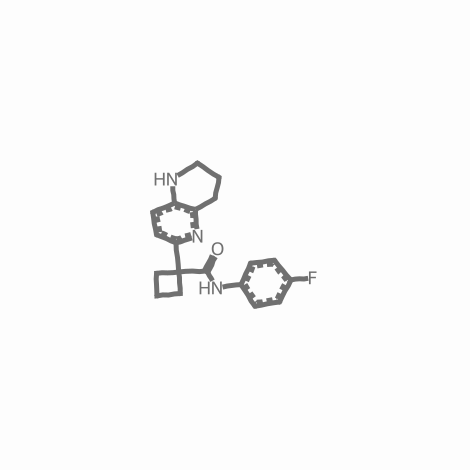 O=C(Nc1ccc(F)cc1)C1(c2ccc3c(n2)CCCN3)CCC1